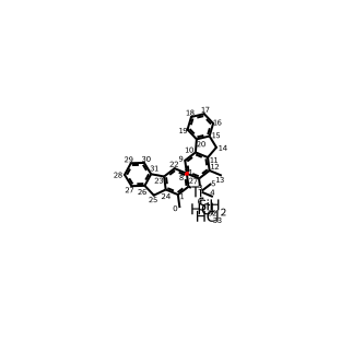 Cc1[c]([Ti]([CH3])([CH3])(=[SiH2])[c]2ccc3c(c2C)Cc2ccccc2-3)ccc2c1Cc1ccccc1-2.Cl.Cl